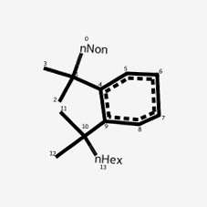 CCCCCCCCCC(C)(C)c1ccccc1C(C)(C)CCCCCC